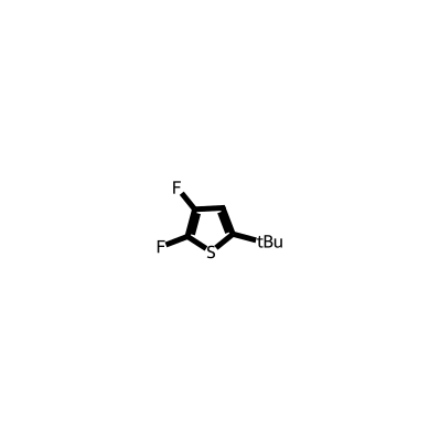 CC(C)(C)c1cc(F)c(F)s1